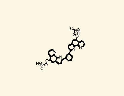 O=[PH](O)OOc1cc2ccc(-c3cccc(-c4ccc5cc(OO[PH](=O)O)c6cccnc6c5n4)c3)nc2c2ncccc12